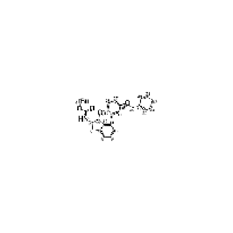 CC(C)(C)OC(=O)N[C@H]1Cc2ccccc2[C@H]1Oc1ccc(OCc2ccccc2)cc1